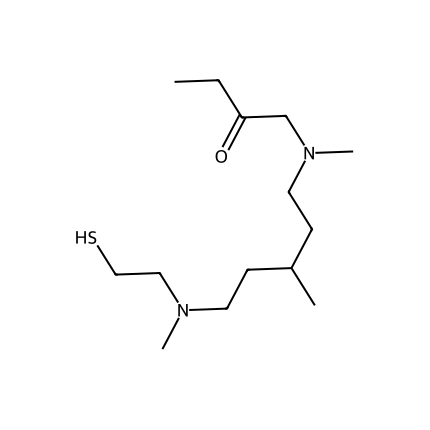 CCC(=O)CN(C)CCC(C)CCN(C)CCS